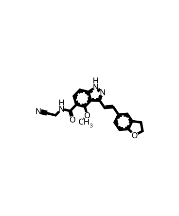 COc1c(C(=O)NCC#N)ccc2[nH]nc(C=Cc3ccc4c(c3)CCO4)c12